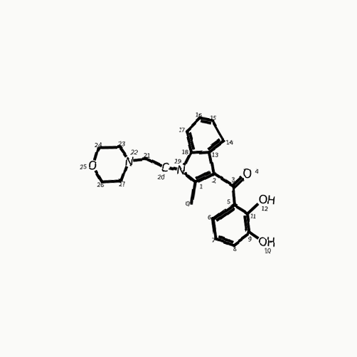 Cc1c(C(=O)c2cccc(O)c2O)c2ccccc2n1CCN1CCOCC1